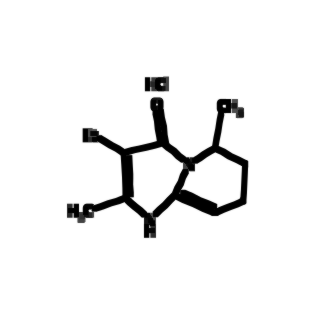 CCC1=C(C)NC2=CCCC(C)N2C1=O.Cl